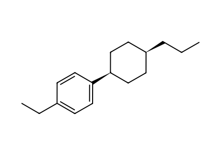 CCC[C@H]1CC[C@@H](c2ccc(CC)cc2)CC1